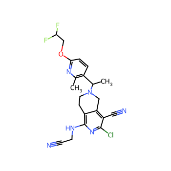 Cc1nc(OCC(F)F)ccc1C(C)N1CCc2c(NCC#N)nc(Cl)c(C#N)c2C1